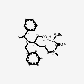 CC(c1ccccc1)N(Cc1ccccc1)C(CCCN(C)C(=O)OC(C)(C)C)CC(=O)O